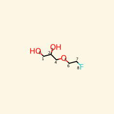 OCC(O)COCCF